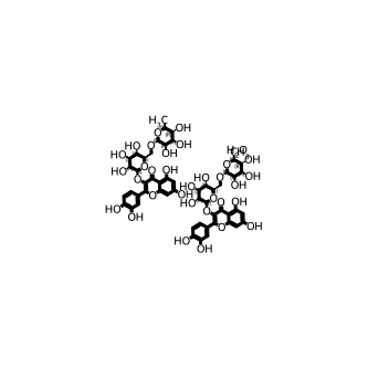 C[C@@H]1O[C@@H](OC[C@H]2O[C@@H](Oc3c(-c4ccc(O)c(O)c4)oc4cc(O)cc(O)c4c3=O)[C@H](O)[C@@H](O)[C@@H]2O)[C@H](O)[C@H](O)[C@H]1O.C[C@@H]1O[C@@H](OC[C@H]2O[C@@H](Oc3c(-c4ccc(O)c(O)c4)oc4cc(O)cc(O)c4c3=O)[C@H](O)[C@@H](O)[C@@H]2O)[C@H](O)[C@H](O)[C@H]1O.O